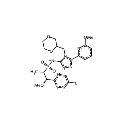 COc1cccc(-c2nnc(NS(=O)(=O)[C@@H](C)[C@H](OC)c3ncc(Cl)cn3)n2CC2COCCO2)n1